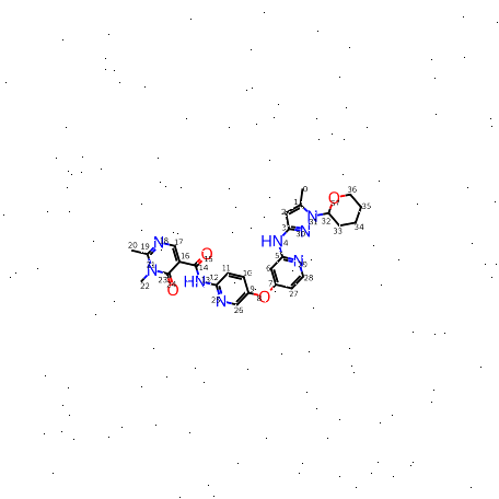 Cc1cc(Nc2cc(Oc3ccc(NC(=O)c4cnc(C)n(C)c4=O)nc3)ccn2)nn1C1CCCCO1